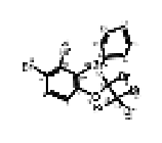 Brc1ccc(OC(Br)(Oc2ccccc2)C(Br)(Br)Br)c(Br)c1Br